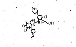 CC=CN1CCC(N2c3nc(Nc4cc(N5CCN(C)CC5)cc(Cl)c4OCCO)ncc3N(C)C(=O)[C@H]2CC)C1